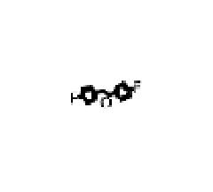 O=C([CH]c1ccc(F)cc1)c1ccc(F)cc1